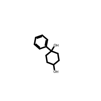 OC1CCC(O)(c2ccccc2)CC1